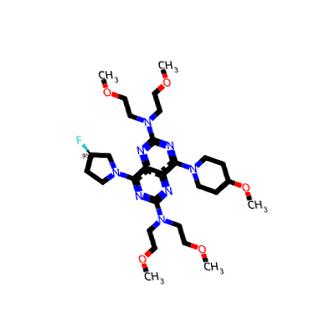 COCCN(CCOC)c1nc(N2CC[C@@H](F)C2)c2nc(N(CCOC)CCOC)nc(N3CCC(OC)CC3)c2n1